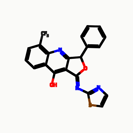 Oc1c2c(nc3c(C(F)(F)F)cccc13)C(c1ccccc1)OC2=Nc1nccs1